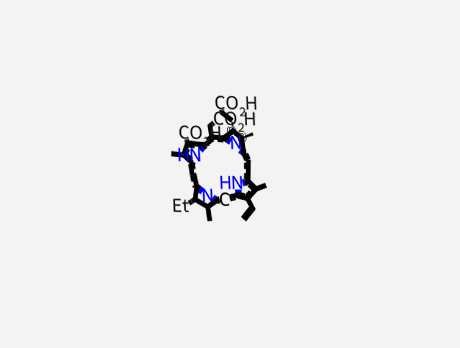 C=Cc1c(C)c2cc3nc(c(CC(=O)O)c4[nH]c(cc5nc(cc1[nH]2)C(C)C5CC)c(C)c4C(=O)O)[C@H](CCC(=O)O)[C@H]3C